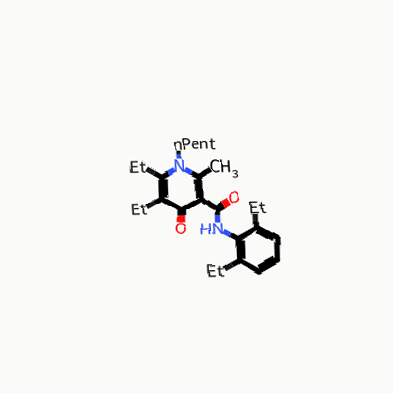 CCCCCn1c(C)c(C(=O)Nc2c(CC)cccc2CC)c(=O)c(CC)c1CC